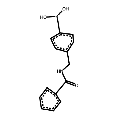 O=C(NCc1ccc(B(O)O)cc1)c1ccccc1